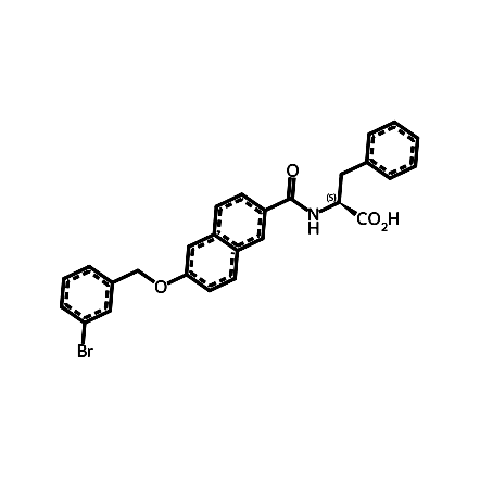 O=C(N[C@@H](Cc1ccccc1)C(=O)O)c1ccc2cc(OCc3cccc(Br)c3)ccc2c1